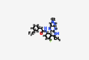 CCn1cc2ncc(N[C@@H](C)c3cc(NC(=O)Cc4cccc(C(F)(F)F)c4)ccc3F)nc2n1